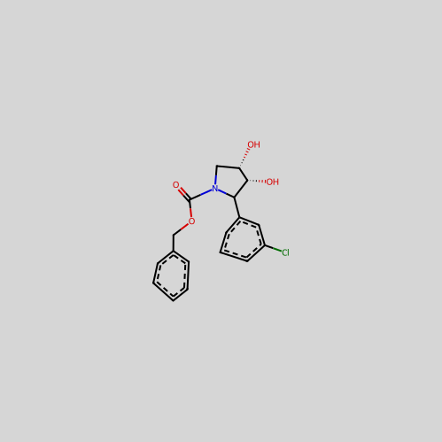 O=C(OCc1ccccc1)N1C[C@H](O)[C@H](O)C1c1cccc(Cl)c1